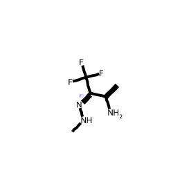 C=C(N)/C(=N\NC)C(F)(F)F